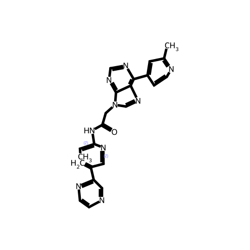 C=C(/C=N\C(=C/C)NC(=O)Cn1cnc2c(-c3ccnc(C)c3)ncnc21)c1cnccn1